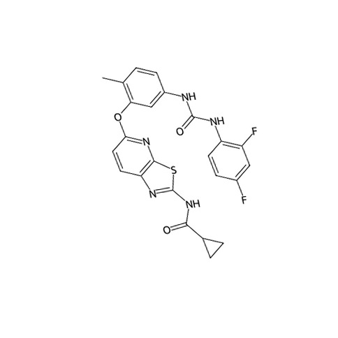 Cc1ccc(NC(=O)Nc2ccc(F)cc2F)cc1Oc1ccc2nc(NC(=O)C3CC3)sc2n1